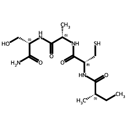 CC[C@H](C)C(=O)N[C@@H](CS)C(=O)N[C@@H](C)C(=O)N[C@@H](CO)C(N)=O